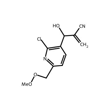 C=C(C#N)C(O)c1ccc(COOC)nc1Cl